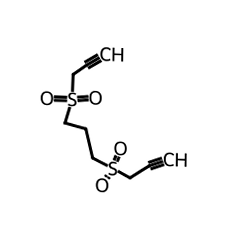 C#CCS(=O)(=O)CCCS(=O)(=O)CC#C